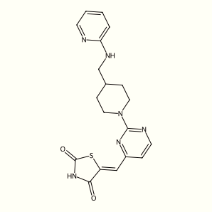 O=C1NC(=O)C(=Cc2ccnc(N3CCC(CNc4ccccn4)CC3)n2)S1